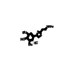 CNCCC1=NC(c2cc(C(C)(C)C)c(O)c(C(C)(C)C)c2)CS1.Cl